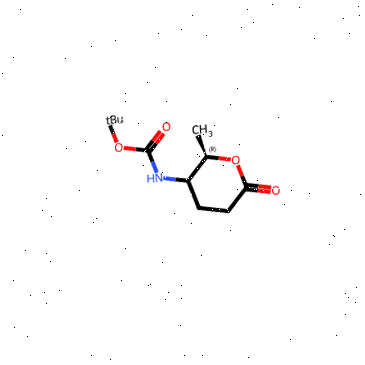 C[C@H]1OC(=O)CCC1NC(=O)OC(C)(C)C